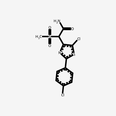 CS(=O)(=O)C(C(N)=O)c1nc(-c2ccc(Cl)cc2)sc1Cl